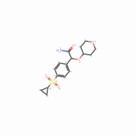 NC(=O)C(OC1CCOCC1)c1ccc(S(=O)(=O)C2CC2)cc1